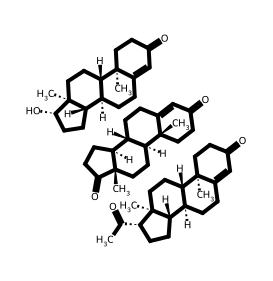 CC(=O)[C@H]1CC[C@H]2[C@@H]3CCC4=CC(=O)CC[C@]4(C)[C@H]3CC[C@]12C.C[C@]12CCC(=O)C=C1CC[C@@H]1[C@@H]2CC[C@]2(C)C(=O)CC[C@@H]12.C[C@]12CC[C@H]3[C@@H](CCC4=CC(=O)CC[C@@]43C)[C@@H]1CC[C@@H]2O